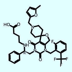 Cc1ccc(CN2CCC3(CC2)OCc2c3c(=O)n(C[C@H](NCCCC(=O)O)c3ccccc3)c(=O)n2Cc2c(F)cccc2C(F)(F)F)o1